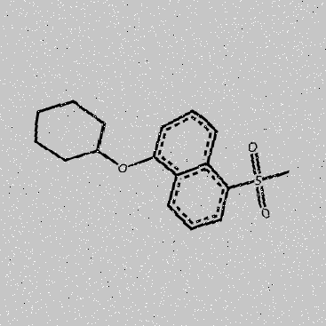 CS(=O)(=O)c1cccc2c(OC3CCCCC3)cccc12